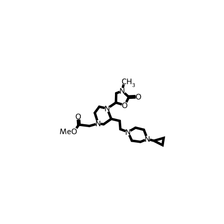 COC(=O)CN1CCN(C2CN(C)C(=O)O2)C(CCN2CCN(C3CC3)CC2)C1